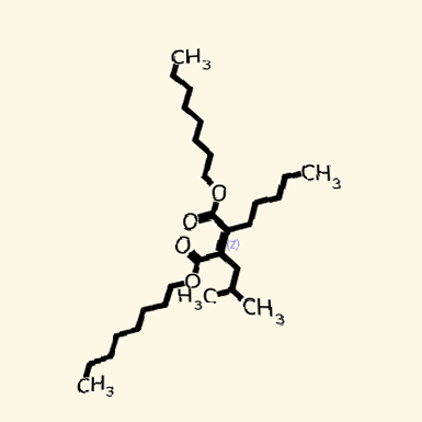 CCCCCCCCOC(=O)/C(CCCCC)=C(/CC(C)C)C(=O)OCCCCCCCC